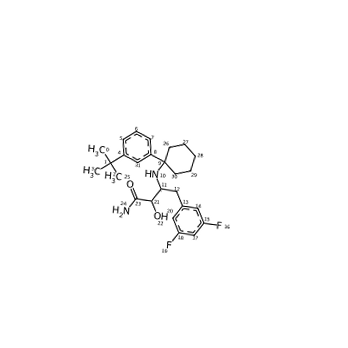 CC(C)(C)c1cccc(C2(N[C](Cc3cc(F)cc(F)c3)C(O)C(N)=O)CCCCC2)c1